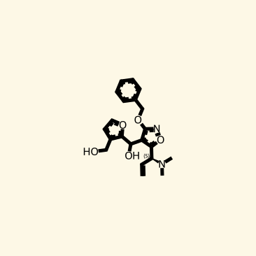 C=C[C@@H](c1onc(OCc2ccccc2)c1C(O)c1occc1CO)N(C)C